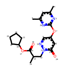 Cc1cc(C)nc(Oc2cnn(CC(C)C(=O)OC3CCCC3)c(=O)c2)n1